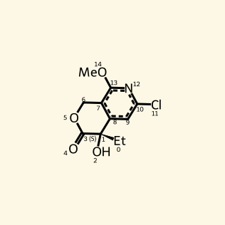 CC[C@@]1(O)C(=O)OCc2c1cc(Cl)nc2OC